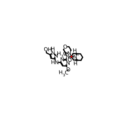 COc1cc(Nc2cc(CO)[nH]n2)nc(N(C)[C@@H]2C[C@H]3CCC[C@@H](C2)N3C(=O)N2CCOCC2)n1